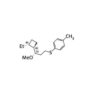 CC[C@@H]1CC[C@H]1[C@H](CCSc1ccc(C)cc1)OC